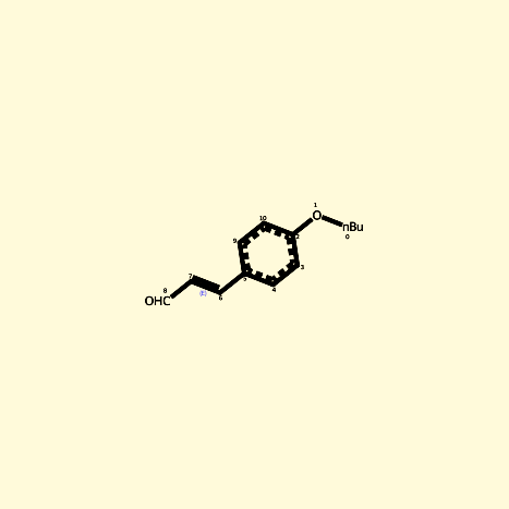 CCCCOc1ccc(/C=C/C=O)cc1